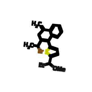 C=C1CC(C(C)Br)=C(c2ccc(C(CC)OC)s2)c2ccccc21